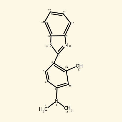 CN(C)c1ccc(-c2nc3ccccc3s2)c(O)c1